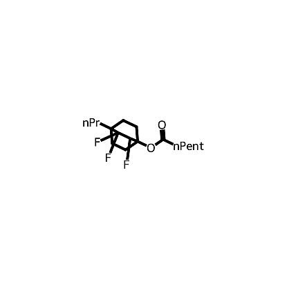 CCCCCC(=O)OC12CCC(CCC)(CC1)C(F)(F)C2F